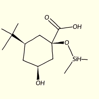 C[SiH](C)O[C@@]1(C(=O)O)C[C@@H](O)C[C@@H](C(C)(C)C)C1